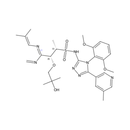 C=N/C(=N\C=C(C)C)[C@@H](OCC(C)(C)O)[C@H](C)S(=O)(=O)Nc1nnc(-c2cncc(C)c2)n1-c1c(OC)cccc1OC